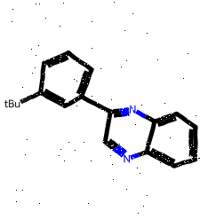 CC(C)(C)c1cccc(-c2cnc3ccccc3n2)c1